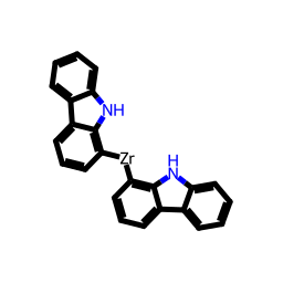 c1ccc2c(c1)[nH]c1[c]([Zr][c]3cccc4c3[nH]c3ccccc34)cccc12